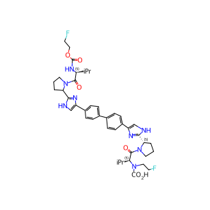 CC(C)[C@H](NC(=O)OCCF)C(=O)N1CCCC1c1nc(-c2ccc(-c3ccc(-c4c[nH]c([C@@H]5CCCN5C(=O)[C@H](C(C)C)N(CCF)C(=O)O)n4)cc3)cc2)c[nH]1